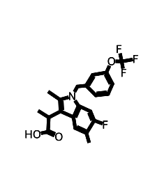 Cc1cc2c(C(C)C(=O)O)c(C)n(Cc3cccc(OC(F)(F)F)c3)c2cc1F